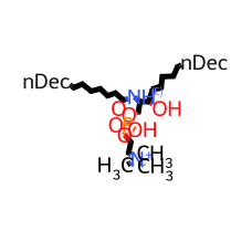 CCCCCCCCCCCCC/C=C/C(O)C(COP(=O)(O)OCC[N+](C)(C)C)NC(=O)CCCCCCCCCCCCCCCC